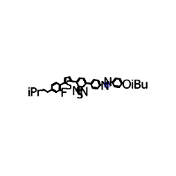 CC(C)CCc1ccc(-c2ccc(-c3ccc(-c4ccc(/N=N/c5ccc(OCC(C)C)cc5)cc4)c4nsnc34)s2)c(F)c1